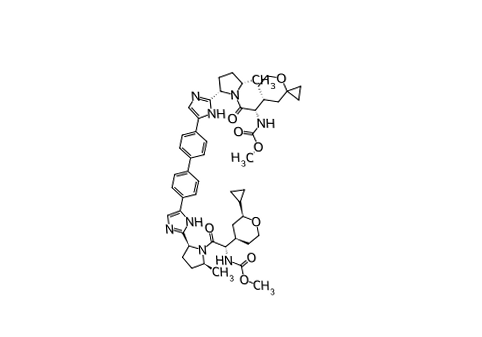 COC(=O)N[C@H](C(=O)N1[C@@H](C)CC[C@H]1c1ncc(-c2ccc(-c3ccc(-c4cnc([C@@H]5CC[C@H](C)N5C(=O)[C@@H](NC(=O)OC)[C@@H]5CCOC6(CC6)C5)[nH]4)cc3)cc2)[nH]1)[C@@H]1CCO[C@H](C2CC2)C1